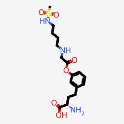 CS(=O)(=O)NCCCCNCC(=O)Oc1cccc(CC[C@H](N)C(=O)O)c1